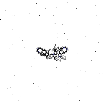 C=C[C@H](CO/C(C[C@@H]1NC[C@@H]2CC/C=C\C=C/C(=C)N2C(=O)C1=C)=C(/C)OC)C/C(=C\CCSCC(C)(C)S)COC1=C(OC)C[C@@H]2C(=O)N3C(=C)/C=C\C=C/CC[C@H]3C=N[C@@H]2C1